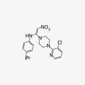 CC(C)c1ccc(NC(=C[N+](=O)[O-])N2CCN(c3ncccc3Cl)CC2)cc1